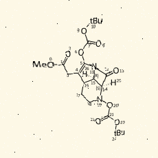 COC(=O)CC1=C(OC(=O)OC(C)(C)C)N2C(=O)[C@@H]3[C@H]2C1CCN3OC(=O)OC(C)(C)C